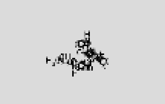 CN(C)C/C=C/C(=O)Nc1ccc(C(=O)NCCC2(Nc3ncc(Cl)c(-c4c[nH]c5ccccc45)n3)CC3CCCC(C3)C2)cc1